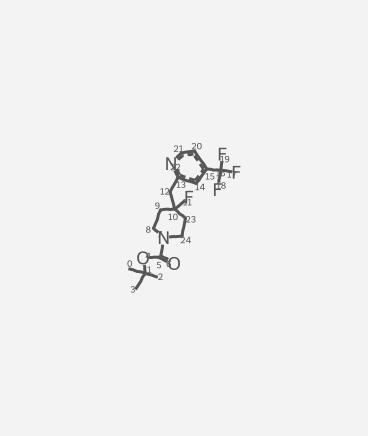 CC(C)(C)OC(=O)N1CCC(F)(Cc2cc(C(F)(F)F)ccn2)CC1